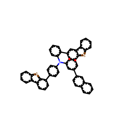 c1cc(-c2ccc3ccccc3c2)cc(N(c2ccc(-c3cccc4c3sc3ccccc34)cc2)c2ccccc2-c2ccc3sc4ccccc4c3c2)c1